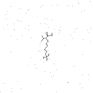 COC(=O)C(SCCCCCC(F)(F)F)C(C)C